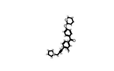 O=C(c1ccc(OC2CCCCO2)cc1)c1ccc(C#CCN2CCCC2)c(F)c1